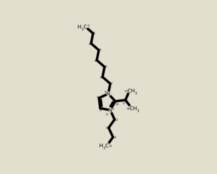 CCCCCCCCn1cc[n+](CCCC)c1C(C)C